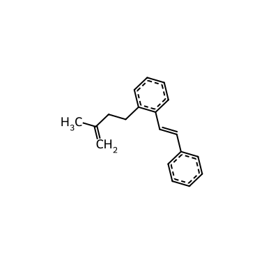 C=C(C)CCc1ccccc1C=Cc1ccccc1